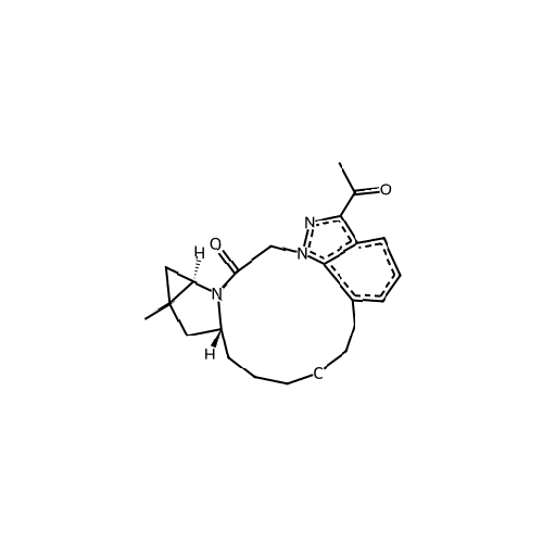 CC(=O)c1nn2c3c(cccc13)CCCCCC[C@@H]1CC3(C)C[C@H]3N1C(=O)C2